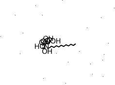 CCCCCCCCCCCCN(C(C)O)C(CC(=O)O)(C(=O)O)S(=O)(=O)O